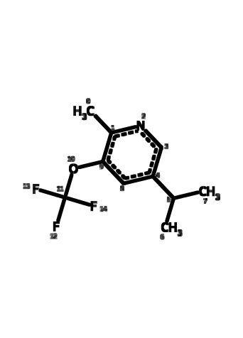 Cc1ncc(C(C)C)cc1OC(F)(F)F